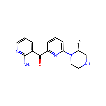 CC(C)[C@@H]1CNCCN1c1cccc(C(=O)c2cccnc2N)n1